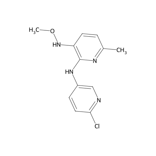 CONc1ccc(C)nc1Nc1ccc(Cl)nc1